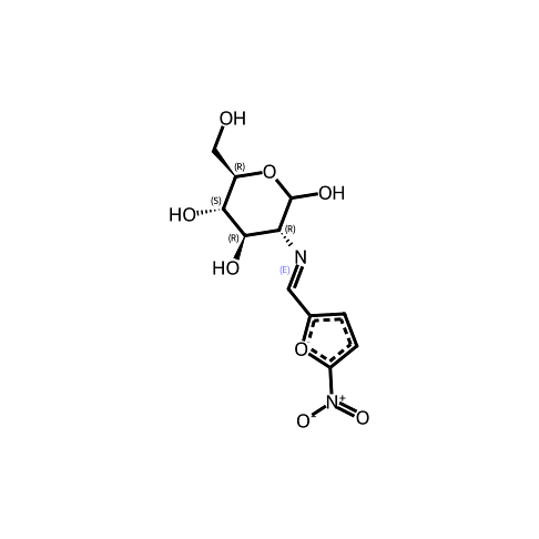 O=[N+]([O-])c1ccc(/C=N/[C@H]2C(O)O[C@H](CO)[C@@H](O)[C@@H]2O)o1